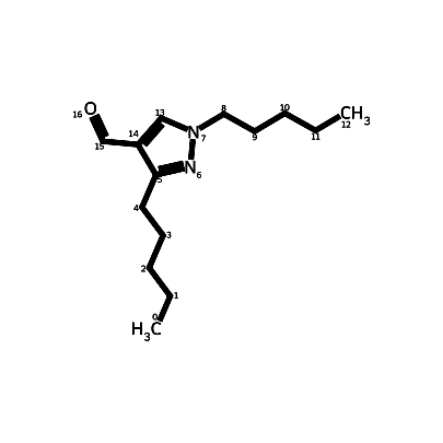 CCCCCc1nn(CCCCC)cc1C=O